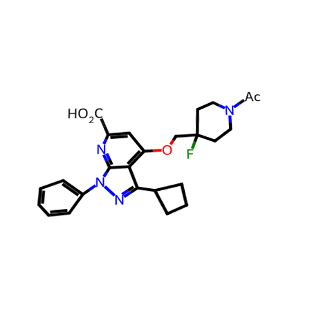 CC(=O)N1CCC(F)(COc2cc(C(=O)O)nc3c2c(C2CCC2)nn3-c2ccccc2)CC1